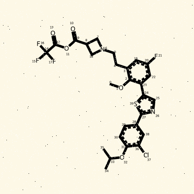 COc1c(CCN2CC(C(=O)OC(=O)C(F)(F)F)C2)cc(F)cc1-c1cnc(-c2ccc(OC(C)C)c(Cl)c2)s1